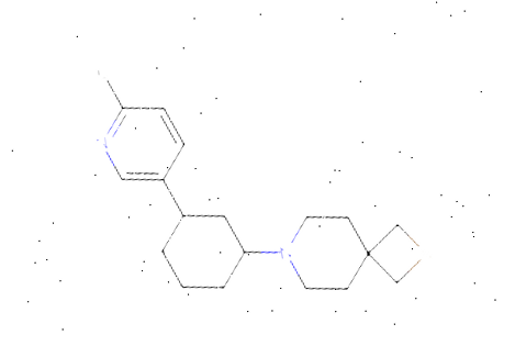 FC(F)(F)c1ccc(C2CCCC(N3CCC4(CC3)CSC4)C2)cn1